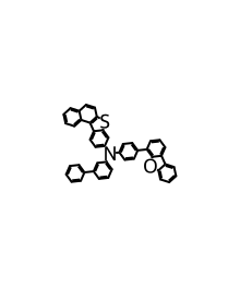 c1ccc(-c2cccc(N(c3ccc(-c4cccc5c4oc4ccccc45)cc3)c3ccc4c(c3)sc3ccc5ccccc5c34)c2)cc1